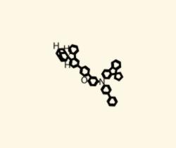 c1ccc(-c2ccc(N(c3ccc4c(c3)C3(CCCC3)c3ccccc3-4)c3ccc4oc5cc(-c6ccc7c(c6)-c6ccccc6[C@]76[C@@H]7CC8C[C@@H](C7)C[C@H]6C8)ccc5c4c3)cc2)cc1